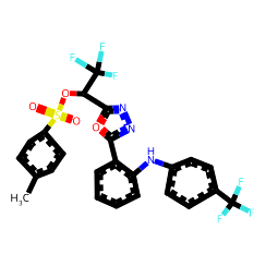 Cc1ccc(S(=O)(=O)OC(c2nnc(-c3ccccc3Nc3ccc(C(F)(F)F)cc3)o2)C(F)(F)F)cc1